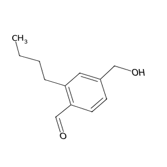 CCCCc1cc(CO)ccc1C=O